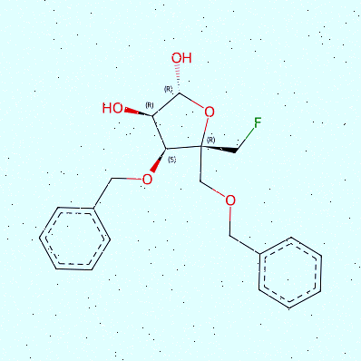 O[C@H]1[C@H](O)O[C@](CF)(COCc2ccccc2)[C@H]1OCc1ccccc1